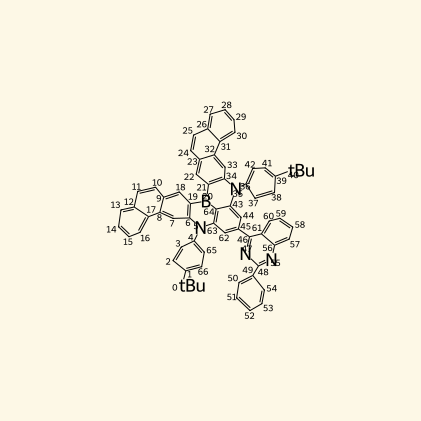 CC(C)(C)c1ccc(N2c3cc4c(ccc5ccccc54)cc3B3c4cc5ccc6ccccc6c5cc4N(c4ccc(C(C)(C)C)cc4)c4cc(-c5nc(-c6ccccc6)nc6ccccc56)cc2c43)cc1